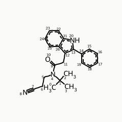 CC(C)(C)N(CCC#N)C(=O)Cc1c(-c2ccccc2)[nH]c2ccccc12